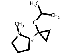 CC(C)OC1([C@@H]2CCCN2C)CC1